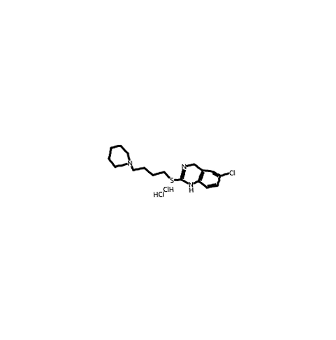 Cl.Cl.Clc1ccc2c(c1)CN=C(SCCCCN1CCCCC1)N2